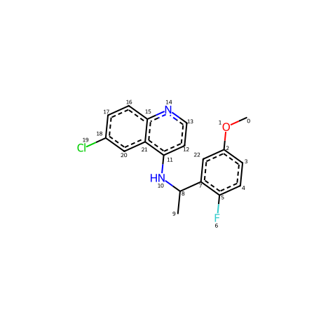 COc1ccc(F)c(C(C)Nc2ccnc3ccc(Cl)cc23)c1